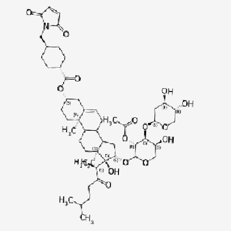 CC(=O)O[C@H]1C(O[C@H]2CC3C4CC=C5C[C@@H](OC(=O)[C@H]6CC[C@H](CN7C(=O)C=CC7=O)CC6)CC[C@]5(C)C4CC[C@]3(C)[C@@]2(O)[C@H](C)C(=O)CCC(C)C)OC[C@H](O)[C@@H]1O[C@H]1C[C@@H](O)[C@H](O)CO1